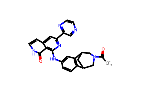 O=C(N1CC2CC(C1)c1cc(Nc3nc(-c4cnccn4)cc4cc[nH]c(=O)c34)ccc12)C(F)(F)F